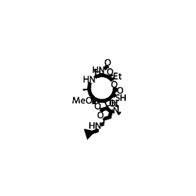 CC[C@H]1OC(=O)C(S)C(=O)[C@H](C)[C@@H](O[C@@H]2O[C@H](CNCC3CC3)CC(N(C)C)[C@H]2O)[C@](C)(OC)C[C@@H](C)CN[C@H](C)[C@H]2NC(=O)O[C@@]21C